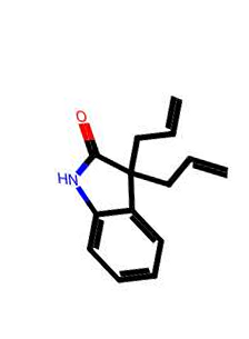 C=CCC1(CC=C)C(=O)Nc2ccccc21